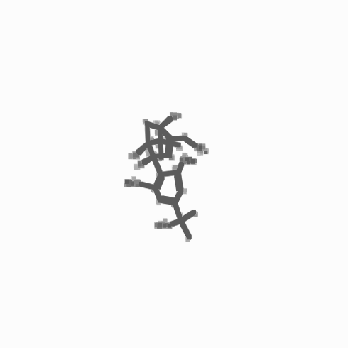 CCCCCCC(C)(C)c1cc(OC)c([C@H]2C=C(CN)[C@H]3C[C@@H]2C3(C)C)c(OC)c1